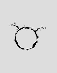 CCCCCCCCCC1CC=CCCC=CCC(CCCCCCCCC)N=N1